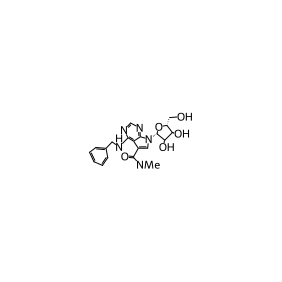 CNC(=O)c1cn([C@@H]2O[C@H](CO)[C@@H](O)[C@H]2O)c2ncnc(NCc3ccccc3)c12